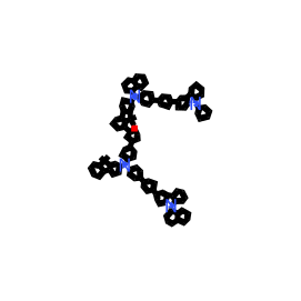 CC1(C)c2ccccc2-c2ccc(N(c3ccc(-c4ccc(-c5ccc6c(c5)c5ccccc5n6-c5cccc6ccccc56)cc4)cc3)c3ccc(-c4cccc(-c5cccc6c5C(C)(C)c5cc(N(c7ccc(-c8ccc(-c9ccc%10c(c9)c9ccccc9n%10-c9ccccc9)cc8)cc7)c7cccc8ccccc78)ccc5-6)c4)cc3)cc21